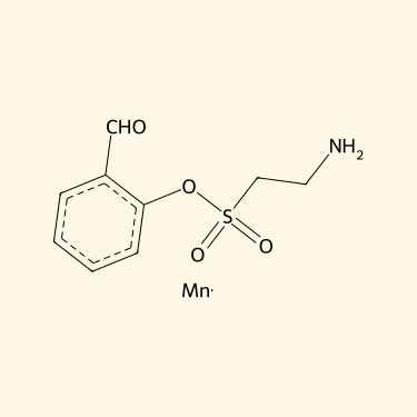 NCCS(=O)(=O)Oc1ccccc1C=O.[Mn]